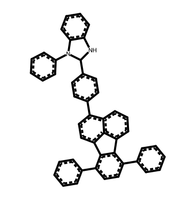 c1ccc(-c2ccc(-c3ccccc3)c3c2-c2cccc4c(-c5ccc(C6Nc7ccccc7N6c6ccccc6)cc5)ccc-3c24)cc1